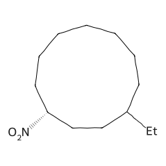 CCC1CCCCCCC[C@@H]([N+](=O)[O-])CC1